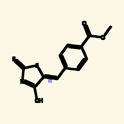 COC(=O)c1ccc(/C=C2\SC(=S)N=C2O)cc1